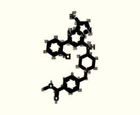 COC(=O)c1ccc(CN2CCC(Nc3cc(-c4ccccc4Cl)nc4c(Br)cnn34)CC2)cc1